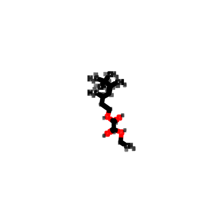 CCOC(=O)C(=O)OCCC(C)C=C(C)C(C)(C)C